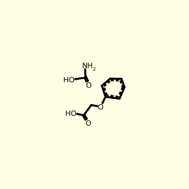 NC(=O)O.O=C(O)COc1ccccc1